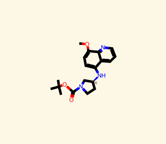 COc1ccc(N[C@H]2CCN(C(=O)OC(C)(C)C)C2)c2cccnc12